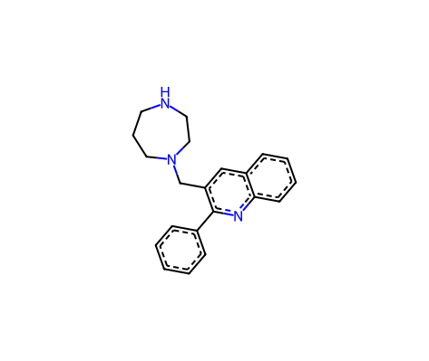 c1ccc(-c2nc3ccccc3cc2CN2CCCNCC2)cc1